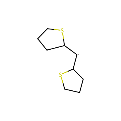 [CH](C1CCCS1)C1CCCS1